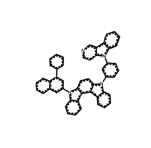 c1ccc(-c2cc(-n3c4ccccc4c4c5c6ccccc6n(-c6cccc(-n7c8ccccc8c8cnccc87)c6)c5ccc43)cc3ccccc23)cc1